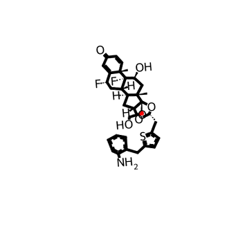 C[C@]12C=CC(=O)C=C1[C@@H](F)C[C@H]1[C@@H]3C[C@H]4O[C@@H](Cc5ccc(Cc6ccccc6N)s5)O[C@@]4(C(=O)CO)[C@@]3(C)C[C@H](O)[C@@]12F